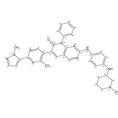 Cc1nc(-c2ccnn2C)ncc1-c1cc2cnc(Nc3ccc(NC4CCCN(C)C4)cc3)nc2n(-c2ccccc2)c1=O